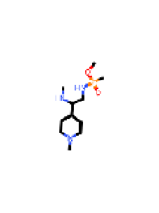 CNC(CNP(C)(=O)OC)C1CCN(C)CC1